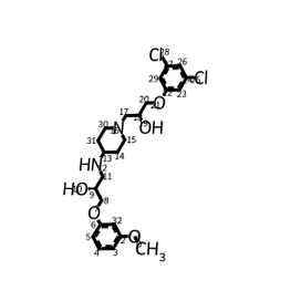 COc1cccc(OC[C@@H](O)CNC2CCN(C[C@H](O)COc3cc(Cl)cc(Cl)c3)CC2)c1